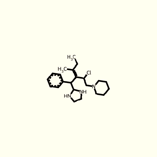 CC/C(C)=C(\C(Cl)CN1CCCCC1)C(c1ccccc1)C1NCCN1